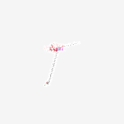 CCCCCCCCCCCCCC[C@@H](O)[C@@H](O)[C@H](CO[C@H]1O[C@H](CO)[C@H](O)[C@H](O)[C@H]1O)NC(=O)CCCCCCCCCCCCCCCCCCCCCCCC12CC(F)(C1)C2